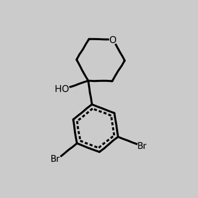 OC1(c2cc(Br)cc(Br)c2)CCOCC1